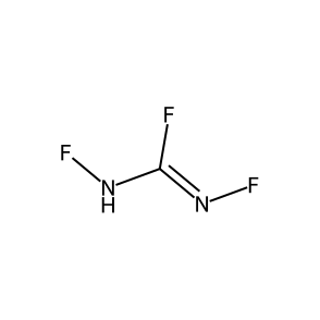 FN=C(F)NF